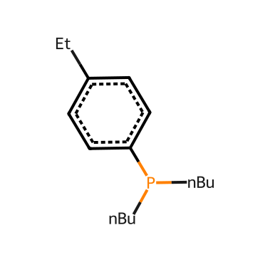 CCCCP(CCCC)c1ccc(CC)cc1